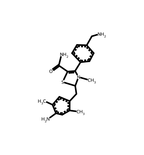 Cc1cc(CC2SC(C(N)=O)=C(c3ccc(CN)cc3)N2C)c(C)cc1N